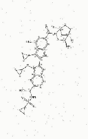 C[C@@H](NS(=O)(=O)C1CC1)c1ccc2cc(-c3nc4cc(C(=O)N5C[C@H](N)[C@@H]6CC[C@H]5C6)cc(F)c4n3C3CC3)n(CC3CC3)c2n1